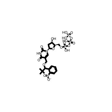 CC(C)(C)C(OCc1cn([C@H]2C[C@@H](O)[C@@H](COP(=O)(O)OP(=O)(O)OP(=O)(O)O)O2)c(=O)[nH]c1=O)c1ccccc1[N+](=O)[O-]